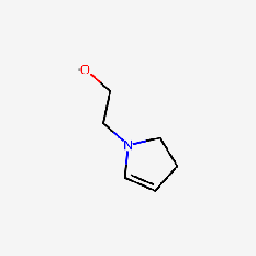 [O]CCN1C=CCC1